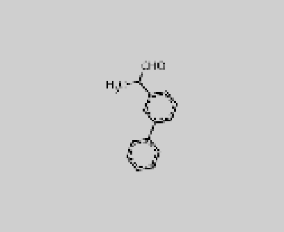 CC(C=O)c1cccc(-c2ccccc2)c1